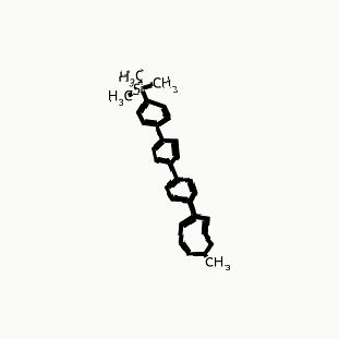 CC1\C=C/C=C(c2ccc(-c3ccc(-c4ccc([Si](C)(C)C)cc4)cc3)cc2)\C=C\C1